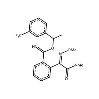 CNC(=O)/C(=N\OC)c1ccccc1C(=N)OC(C)c1cccc(C(F)(F)F)c1